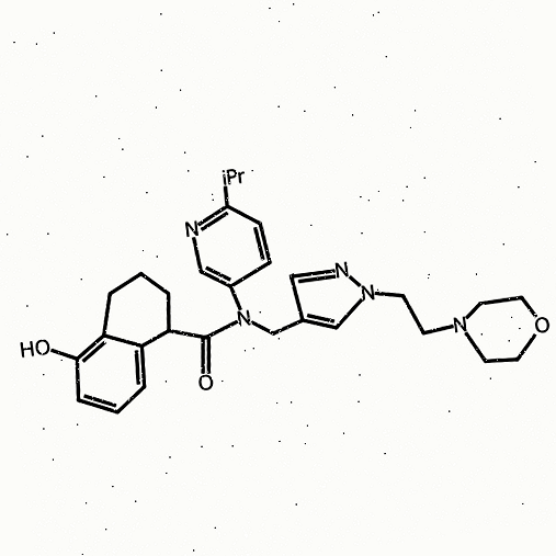 CC(C)c1ccc(N(Cc2cnn(CCN3CCOCC3)c2)C(=O)C2CCCc3c(O)cccc32)cn1